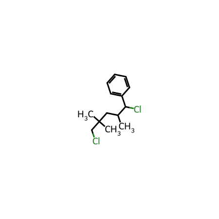 CC(CC(C)(C)CCl)C(Cl)c1ccccc1